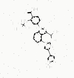 CC(C)c1nn(-c2ccc(C(N)=O)c(NC(C)(C)C)c2)c2cccc(-n3cnc(-c4cnn(C)c4)c3)c12